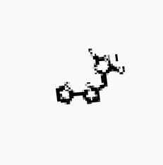 O=C1NC(=S)SC1=Cc1ccc(-c2cccs2)s1